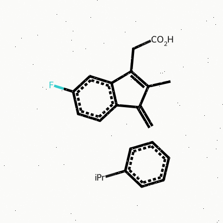 C=C1C(C)=C(CC(=O)O)c2cc(F)ccc21.CC(C)c1ccccc1